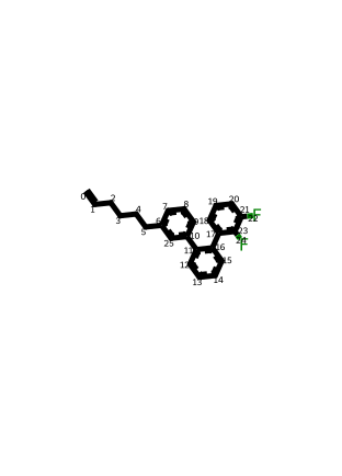 C=CCCCCc1cccc(-c2ccccc2-c2cccc(F)c2F)c1